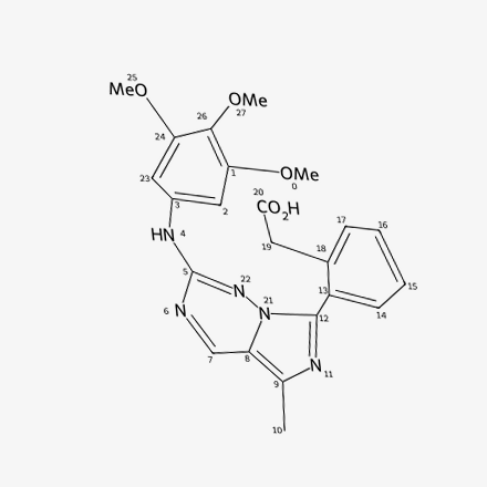 COc1cc(Nc2ncc3c(C)nc(-c4ccccc4CC(=O)O)n3n2)cc(OC)c1OC